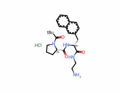 CC(C)(C)C(=O)N1CCC[C@H]1C(=O)N[C@H](Cc1ccc2ccccc2c1)C(=O)NCCN.Cl